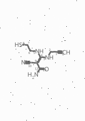 C#CCNC(NCCS)=C(C#N)C(N)=O